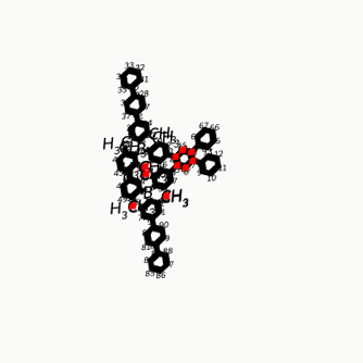 Cc1cc(-c2ccc(-c3ccccc3)cc2)cc(C)c1B(c1c(C)cc(-c2ccc(-c3ccccc3)cc2)cc1C)c1c(C)ccc(-c2ccc(C)c(B(c3c(C)cc(-c4ccc(-c5ccccc5)cc4)cc3C)c3c(C)cc(-c4ccc(-c5ccccc5)cc4)cc3C)c2C)c1C